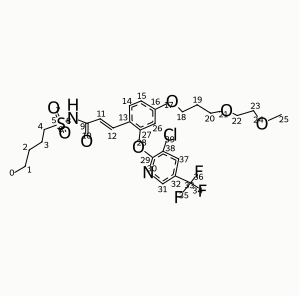 CCCCCS(=O)(=O)NC(=O)/C=C/c1ccc(OCCCOCCOC)cc1Oc1ncc(C(F)(F)F)cc1Cl